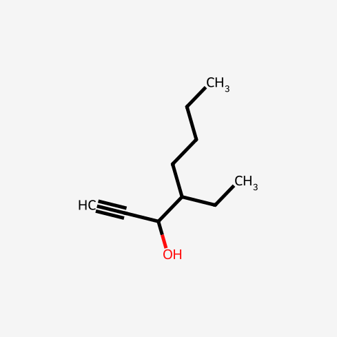 C#CC(O)C(CC)CCCC